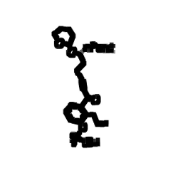 C=CCc1c(O[Si](C)(C)C(C)(C)C)cccc1C(=O)C#CCC[C@@H](CCCCC)OC1CCCCO1